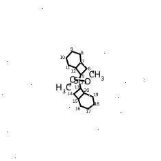 CO[Si](OC)(C1CC2CCCCC21)C1CC2CCCCC21